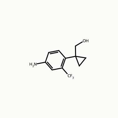 Nc1ccc(C2(CO)CC2)c(C(F)(F)F)c1